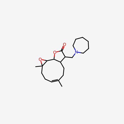 CC1=CCCC2(C)OC2C2OC(=O)C(CN3CCCCCC3)C2CC1